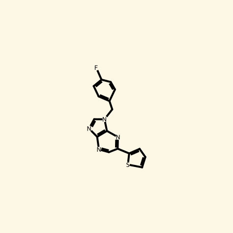 Fc1ccc(Cn2cnc3ncc(-c4cccs4)nc32)cc1